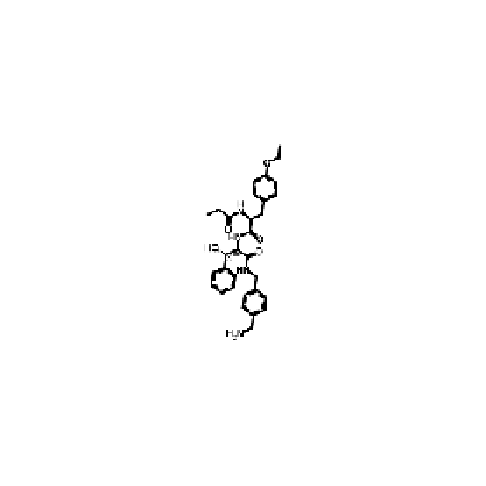 CCOc1ccc(CC(NC(=O)CC)C(=O)N[C@@H](C(=O)NCc2ccc(CN)cc2)[C@@H](O)c2ccccc2)cc1